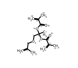 C=C(C)COCC(C)(OC(=O)C(=C)C)OC(=O)C(=C)C